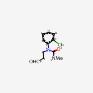 CNC(=O)N(CCC=O)c1ccccc1Cl